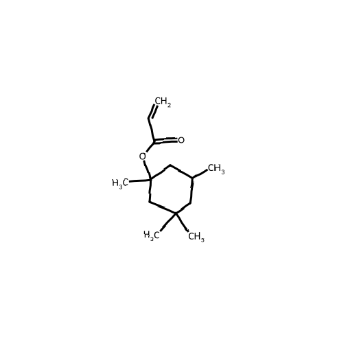 C=CC(=O)OC1(C)CC(C)CC(C)(C)C1